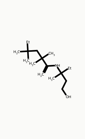 C=C(NC(C)(CC)CCO)C(C)(C)CC(C)(C)CC